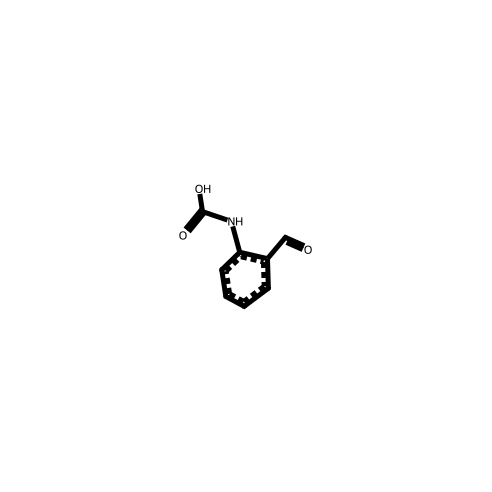 O=Cc1ccccc1NC(=O)O